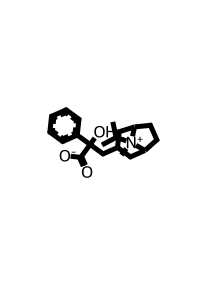 CC(C)[N+]1(C)C2CCC1CC(CC(O)(C(=O)[O-])c1ccccc1)C2